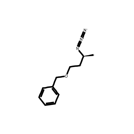 [CH2][C@@H]([CH]COCc1ccccc1)N=[N+]=[N-]